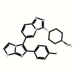 N[C@H]1CC[C@H](c2nnc3ccc(-c4c(-c5ccc(F)cc5)nc5occn45)cn32)CC1